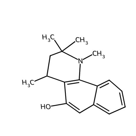 CC1CC(C)(C)N(C)c2c1c(O)cc1ccccc21